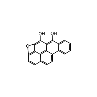 Oc1c2c3c(ccc4ccc5c6ccccc6c(O)c1c5c43)O2